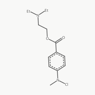 CCN(CC)CCOC(=O)c1ccc(N(C)Cl)cc1